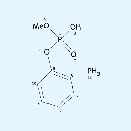 COP(=O)(O)Oc1ccccc1.P